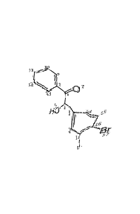 [CH2]c1cc(C(O)C(=O)c2ccccc2)ccc1Br